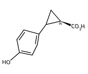 O=C(O)[C@@H]1CC1c1ccc(O)cc1